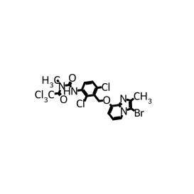 Cc1nc2c(OCc3c(Cl)ccc(NC(=O)N(C)C(=O)C(Cl)(Cl)Cl)c3Cl)cccn2c1Br